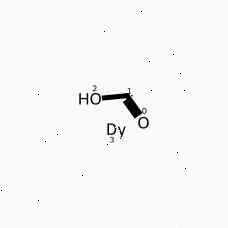 O=[C]O.[Dy]